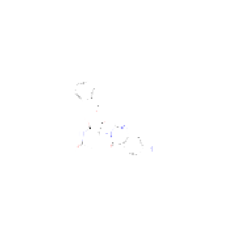 Cc1nc2cc(N)ccc2c(=O)n1C1(C(=O)OCc2ccccc2)CCC(=O)NC1=O